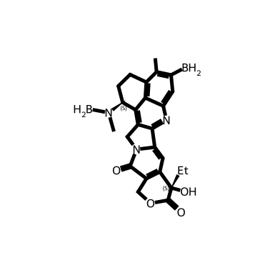 Bc1cc2nc3c(c4c2c(c1C)CC[C@@H]4N(B)C)Cn1c-3cc2c(c1=O)COC(=O)[C@]2(O)CC